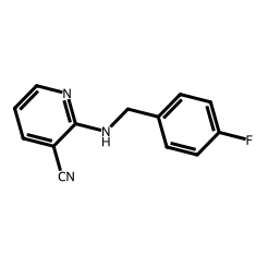 N#Cc1cccnc1NCc1ccc(F)cc1